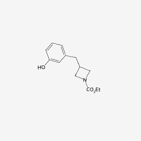 CCOC(=O)N1CC(Cc2cccc(O)c2)C1